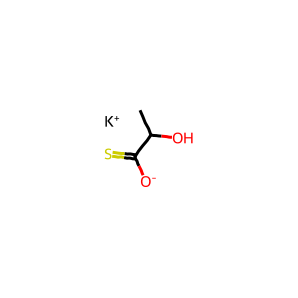 CC(O)C([O-])=S.[K+]